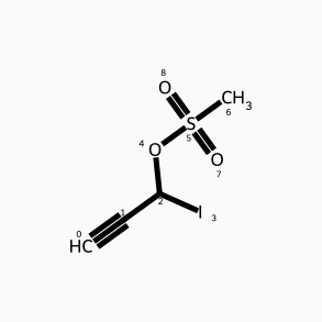 C#CC(I)OS(C)(=O)=O